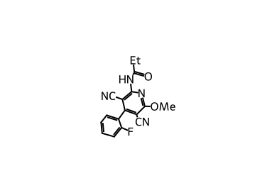 CCC(=O)Nc1nc(OC)c(C#N)c(-c2ccccc2F)c1C#N